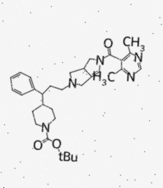 Cc1ncnc(C)c1C(=O)N1C=C2CN(CCC(c3ccccc3)C3CCN(C(=O)OC(C)(C)C)CC3)CC2C1